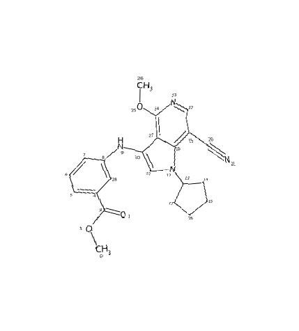 COC(=O)c1cccc(Nc2cn(C3CCCC3)c3c(C#N)cnc(OC)c23)c1